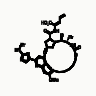 C=C/C=C(/NC(=O)[C@@H]1C[C@@H]2CN1C(=O)[C@H](C(C)C)NC(=O)OCCCCCc1cc3c(cc(-c4csc(NC(C)C)n4)nc3cc1OC)O2)C(=O)O